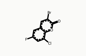 O=c1oc2c(Cl)cc(F)cc2cc1Br